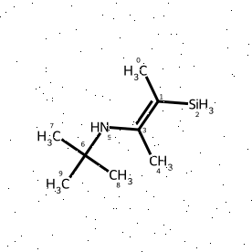 CC([SiH3])=C(C)NC(C)(C)C